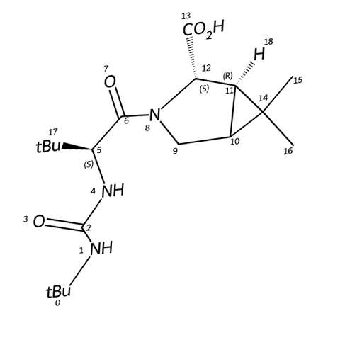 CC(C)(C)NC(=O)N[C@H](C(=O)N1CC2[C@@H]([C@H]1C(=O)O)C2(C)C)C(C)(C)C